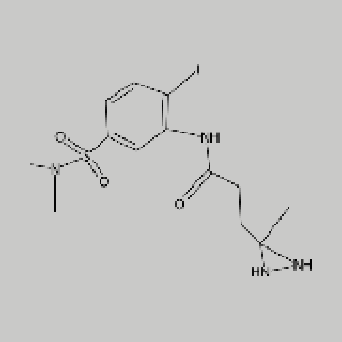 CN(C)S(=O)(=O)c1ccc(I)c(NC(=O)CCC2(C)NN2)c1